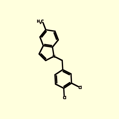 Cc1ccc2c(ccn2Cc2ccc(Cl)c(Cl)c2)c1